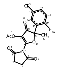 CC(=O)OC1=C(N2C(=O)CCC2=O)OC(C)(c2cc(Cl)ccc2F)C1=O